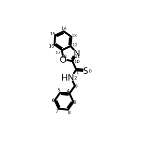 S=C(NCc1ccccc1)c1nc2ccccc2o1